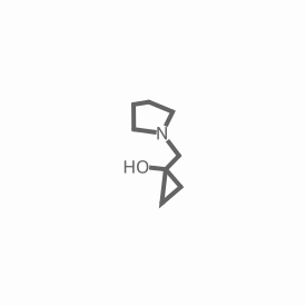 OC1(CN2CCCC2)CC1